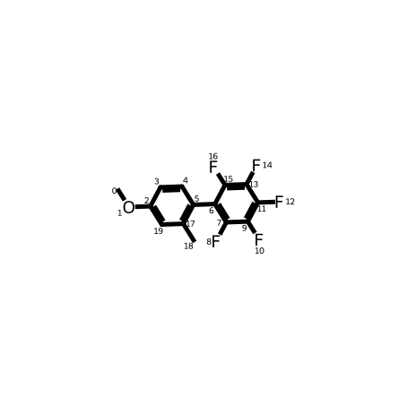 COc1ccc(-c2c(F)c(F)c(F)c(F)c2F)c(C)c1